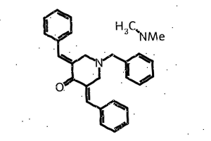 CNC.O=C1C(=Cc2ccccc2)CN(Cc2ccccc2)CC1=Cc1ccccc1